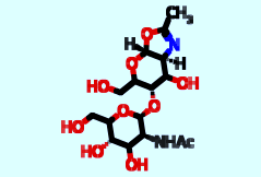 CC(=O)N[C@H]1C(O)[C@H](O)C(CO)O[C@H]1O[C@@H]1C(CO)O[C@@H]2OC(C)=N[C@H]2C1O